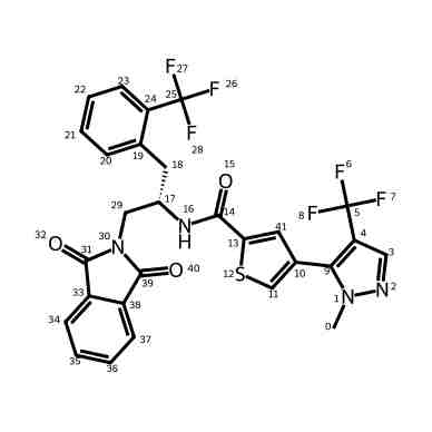 Cn1ncc(C(F)(F)F)c1-c1csc(C(=O)N[C@@H](Cc2ccccc2C(F)(F)F)CN2C(=O)c3ccccc3C2=O)c1